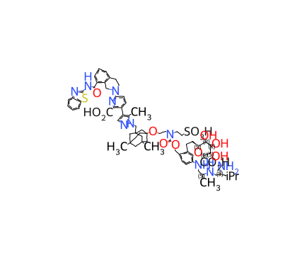 Cc1c(-c2ccc(N3CCc4cccc(C(=O)Nc5nc6ccccc6s5)c4C3)nc2C(=O)O)cnn1CC12CC3(C)CC(C)(C1)CC(OCCN(CCS(=O)(=O)O)C(=O)OCc1ccc(NC[C@H](C)NC[C@@H](N)C(C)C)cc1CC[C@@H]1O[C@H](C(=O)O)[C@@H](O)[C@H](O)[C@H]1O)(C3)C2